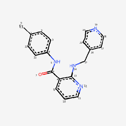 CCc1ccc(NC(=O)c2cccnc2NCc2ccncc2)cc1